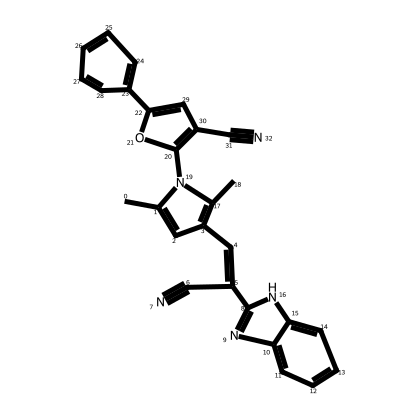 Cc1cc(C=C(C#N)c2nc3ccccc3[nH]2)c(C)n1-c1oc(-c2ccccc2)cc1C#N